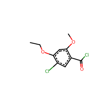 CCOc1cc(OC)c(C(=O)Cl)cc1Cl